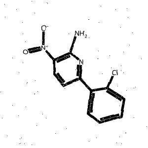 Nc1nc(-c2ccccc2Cl)ccc1[N+](=O)[O-]